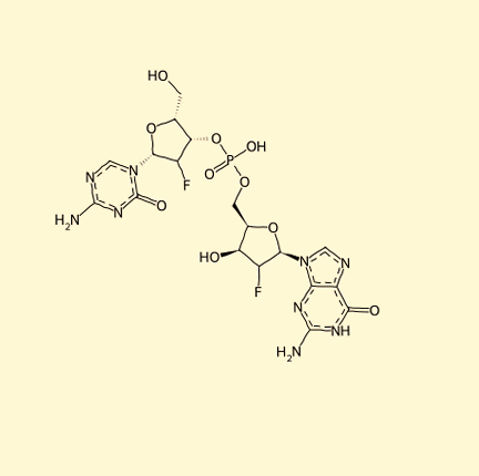 Nc1ncn([C@@H]2O[C@H](CO)[C@H](OP(=O)(O)OC[C@H]3O[C@@H](n4cnc5c(=O)[nH]c(N)nc54)C(F)[C@H]3O)C2F)c(=O)n1